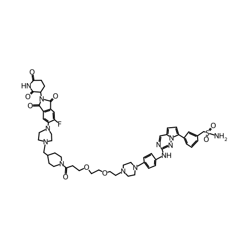 NS(=O)(=O)Cc1cccc(-c2ccc3cnc(Nc4ccc(N5CCN(CCOCCOCCC(=O)N6CCC(CN7CCN(c8cc9c(cc8F)C(=O)N(C8CCC(=O)NC8=O)C9=O)CC7)CC6)CC5)cc4)nn23)c1